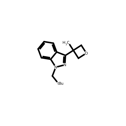 CC(C)(C)Cn1nc(C2(C)COC2)c2ccccc21